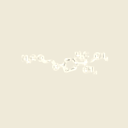 CCC(C)(C)c1ccc(OCCOC)cc1